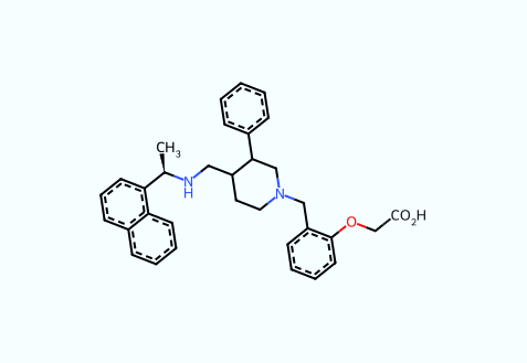 C[C@@H](NCC1CCN(Cc2ccccc2OCC(=O)O)CC1c1ccccc1)c1cccc2ccccc12